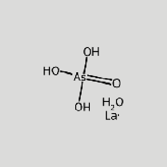 O.O=[As](O)(O)O.[La]